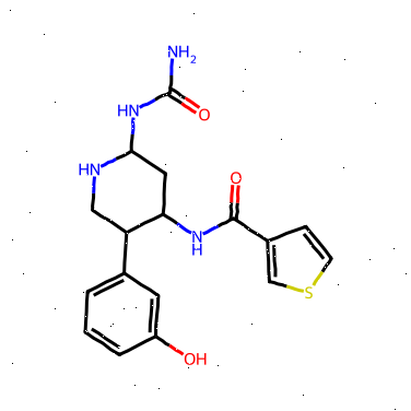 NC(=O)NC1CC(NC(=O)c2ccsc2)C(c2cccc(O)c2)CN1